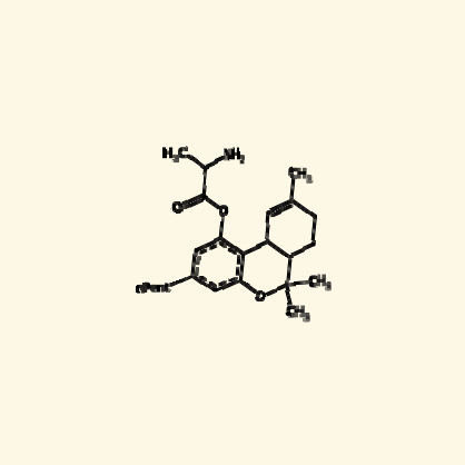 CCCCCc1cc(OC(=O)C(C)N)c2c(c1)OC(C)(C)C1CCC(C)=CC21